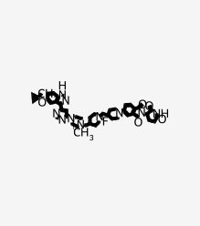 C[C@H]1CN(c2cc(-c3n[nH]c4ccc(OC5(C)CC5)cc34)ncn2)CCN1CC1CCN(CC2(F)CCN(c3ccc4c(c3)C(=O)N(C3CCC(=O)NC3=O)C4=O)CC2)CC1